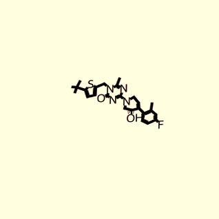 Cc1cc(F)ccc1C1=CCN(c2nc(C)n(Cc3ccc(C(C)(C)C)s3)c(=O)n2)C[C@@H]1O